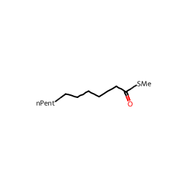 CCCCCCCCCCC(=O)SC